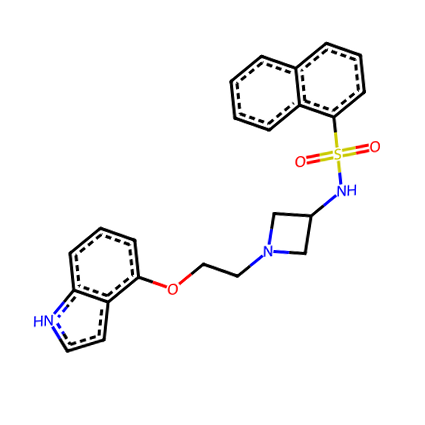 O=S(=O)(NC1CN(CCOc2cccc3[nH]ccc23)C1)c1cccc2ccccc12